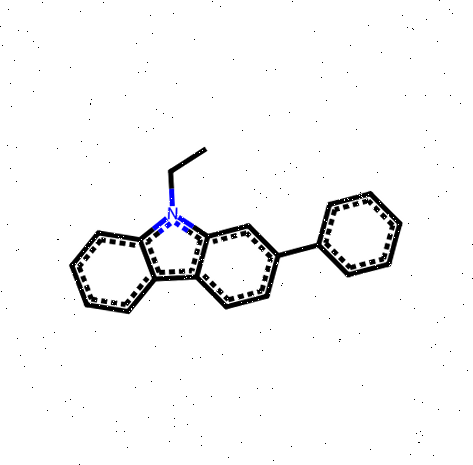 CCn1c2ccccc2c2ccc(-c3ccccc3)cc21